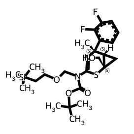 CC(C)(C)OC(=O)N(COCC[Si](C)(C)C)C1=N[C@](C)(c2cccc(F)c2F)[C@@H]2C[C@]2(CO)S1